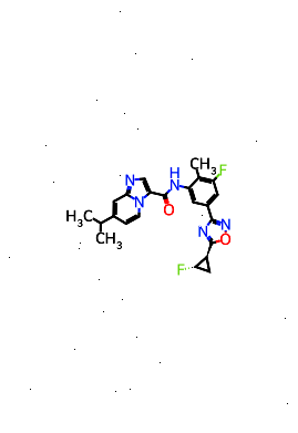 Cc1c(F)cc(-c2noc([C@H]3C[C@@H]3F)n2)cc1NC(=O)c1cnc2cc(C(C)C)ccn12